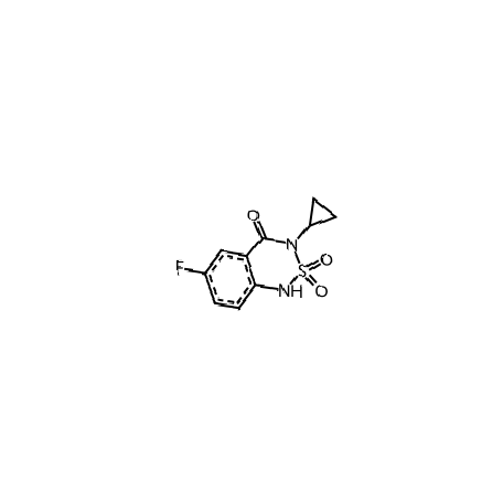 O=C1c2cc(F)ccc2NS(=O)(=O)N1C1CC1